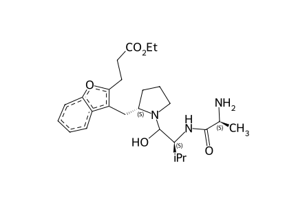 CCOC(=O)CCc1oc2ccccc2c1C[C@@H]1CCCN1C(O)[C@@H](NC(=O)[C@H](C)N)C(C)C